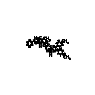 COc1ccc(-n2nc(C3(O)CCC(OC(=O)[C@@H](NC(=O)OCc4ccccc4)C(C)C)CC3)cc2C2=CC[C@@H](C)C=C2)cc1